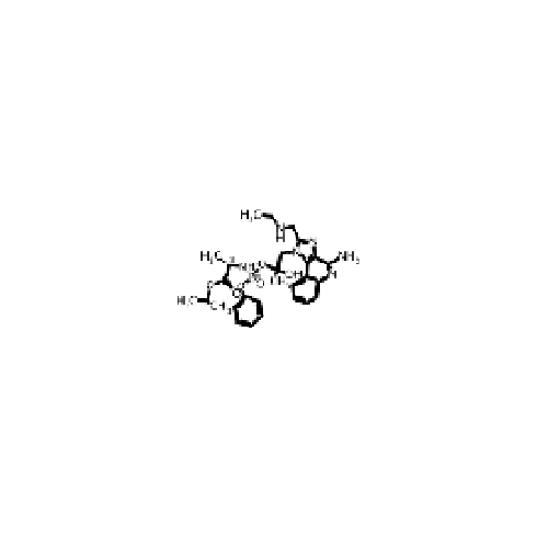 CCNCc1nc2c(N)nc3ccccc3c2n1CC(C)(O)O[P@@](=O)(N[C@@H](C)C(=O)OC(C)C)Oc1ccccc1